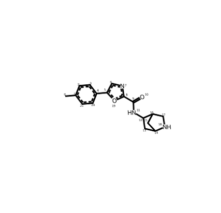 Cc1ccc(-c2cnc(C(=O)NC3CC4CC3CN4)o2)cc1